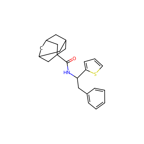 O=C(NC(Cc1ccccc1)c1cccs1)C12CC3CC(CC(C3)C1)C2